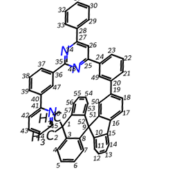 CC1(C)c2ccccc2C2(c3ccccc3-c3ccc(-c4cccc(-c5cc(-c6ccccc6)nc(-c6cccc(-c7ccccn7)c6)n5)c4)cc32)c2ccccc21